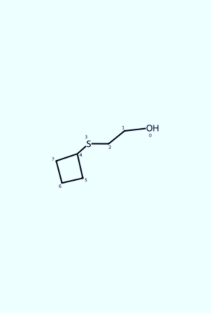 OCCSC1CCC1